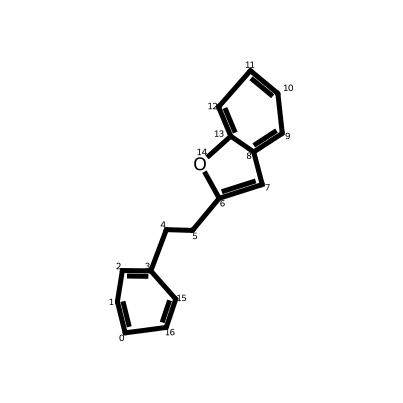 c1ccc(CCc2cc3ccccc3o2)cc1